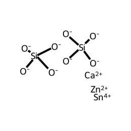 [Ca+2].[O-][Si]([O-])([O-])[O-].[O-][Si]([O-])([O-])[O-].[Sn+4].[Zn+2]